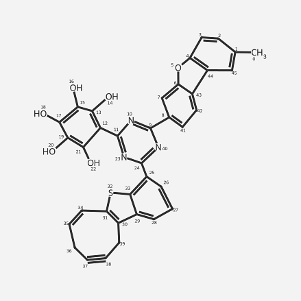 Cc1ccc2oc3cc(-c4nc(-c5c(O)c(O)c(O)c(O)c5O)nc(-c5cccc6c7c(sc56)/C=C\CC#CC7)n4)ccc3c2c1